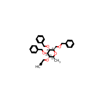 C#CCO[C@@H]1[C@@H](OCc2ccccc2)[C@H](OCc2ccccc2)[C@@H](COCc2ccccc2)O[C@H]1C